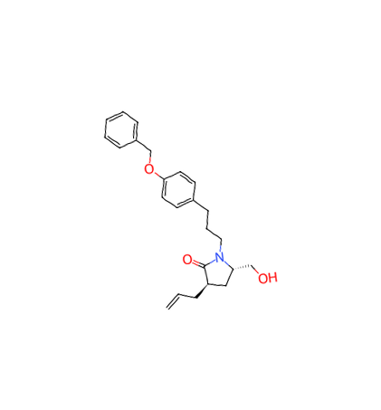 C=CC[C@@H]1C[C@@H](CO)N(CCCc2ccc(OCc3ccccc3)cc2)C1=O